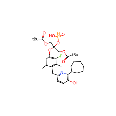 Cc1cc(OC(COC(=O)C(C)(C)C)(COC(=O)C(C)(C)C)O[PH](=O)O)c(F)c(C)c1Cc1ccc(O)c(C2CCCCCC2)n1